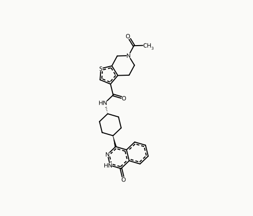 CC(=O)N1CCc2c(C(=O)N[C@H]3CC[C@H](c4n[nH]c(=O)c5ccccc54)CC3)csc2C1